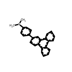 CN(C)c1ccc(-c2ccc3c4ccccc4c4ccccc4c3c2)cc1